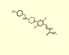 NC(=S)NN=Cc1cc(F)c(N2CCC(NCc3ccc(Cl)cc3)CC2)cc1F